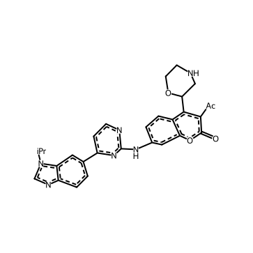 CC(=O)c1c(C2CNCCO2)c2ccc(Nc3nccc(-c4ccc5ncn(C(C)C)c5c4)n3)cc2oc1=O